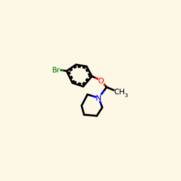 CC(Oc1ccc(Br)cc1)N1CCCCC1